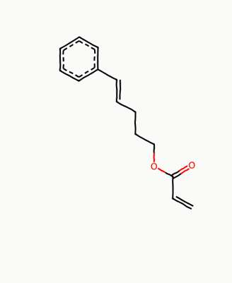 C=CC(=O)OCCCC=Cc1ccccc1